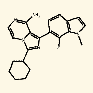 Cn1ccc2ccc(-c3nc(C4CCCCC4)n4ccnc(N)c34)c(F)c21